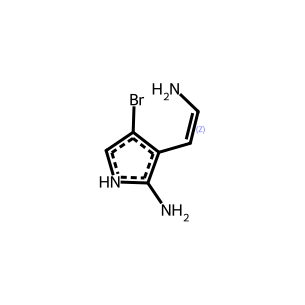 N/C=C\c1c(Br)c[nH]c1N